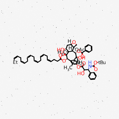 CC/C=C\C/C=C\C/C=C\C/C=C\C/C=C\C/C=C\CCC(=O)O[C@H]1C(=O)[C@@]2(C)[C@H]([C@H](OC(=O)c3ccccc3)[C@]3(O)CC(OC(=O)C(O)[C@@H](NC(=O)OC(C)(C)C)c4ccccc4)C(C)=C1C3(C)C)[C@]1(OC(C)=O)CO[C@@H]1C[C@@H]2O